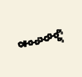 FC(F)(F)c1cc(-c2ccc3cc(-c4ccc5cc(-c6ccc(-c7nc8ccccc8s7)cc6)ccc5c4)ccc3c2)cc(C(F)(F)F)c1